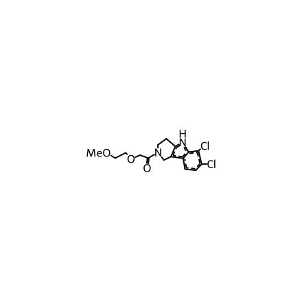 COCCOCC(=O)N1CCc2[nH]c3c(Cl)c(Cl)ccc3c2C1